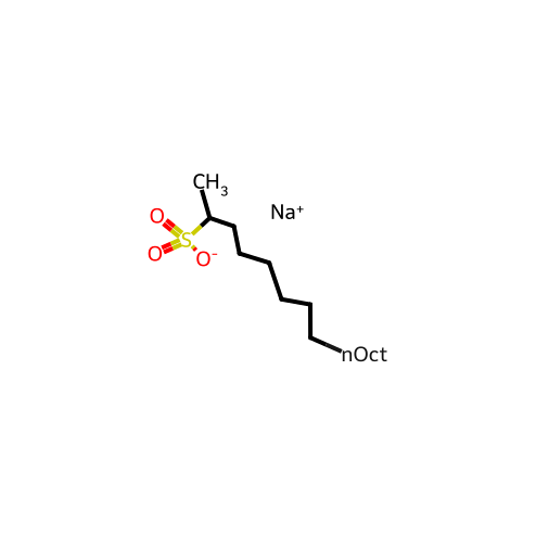 CCCCCCCCCCCCCCC(C)S(=O)(=O)[O-].[Na+]